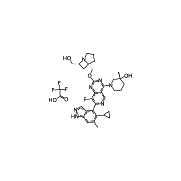 Cc1cc2[nH]ncc2c(-c2ncc3c(N4CCC[C@@](C)(O)C4)nc(OC[C@@]45CCCN4[C@@H](CO)C5)nc3c2F)c1C1CC1.O=C(O)C(F)(F)F